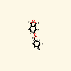 Cc1ccc(COc2ccc3cocc3c2)cc1